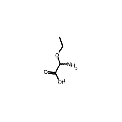 CCOC(N)C(=O)O